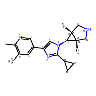 Cc1ncc(-c2cn([C@H]3[C@@H]4CNC[C@@H]43)c(C3CC3)n2)cc1C(F)(F)F